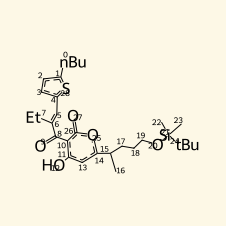 CCCCc1ccc(C=C(CC)C(=O)c2c(O)cc(C(C)CCCO[Si](C)(C)C(C)(C)C)oc2=O)s1